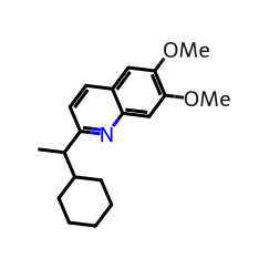 COc1cc2ccc(C(C)C3CCCCC3)nc2cc1OC